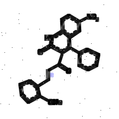 COc1ccccc1/C=C/C(=O)c1c(-c2ccccc2)c2cc([N+](=O)[O-])ccc2[nH]c1=O